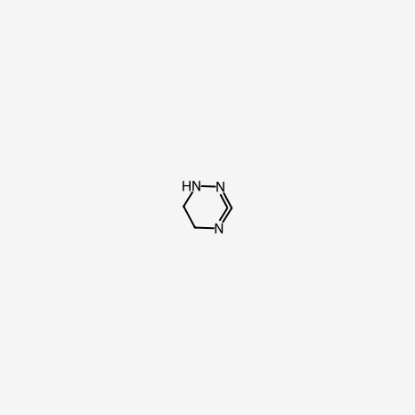 C1=NCCNN=1